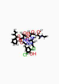 C=C/C=C(\C)[C@@H](C[C@@H]1O[C@@]1(C)C(=O)N(C)[C@H](C(=O)N[C@H](Cc1cc(Cl)c(O)c(Cl)c1)C(=O)N[C@@H](C(=O)O[C@H](c1ccccc1)C(C)C=C)C(C)(C)O)[C@@H](C)CC)OC